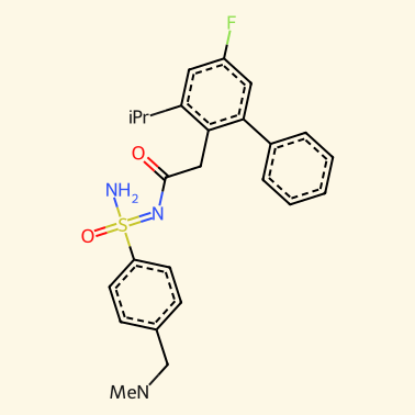 CNCc1ccc(S(N)(=O)=NC(=O)Cc2c(-c3ccccc3)cc(F)cc2C(C)C)cc1